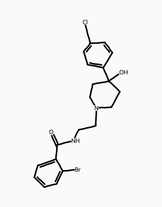 O=C(NCCN1CCC(O)(c2ccc(Cl)cc2)CC1)c1ccccc1Br